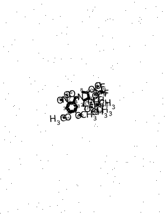 COc1cc(C(=O)N2CC(OS(=O)(=O)C(F)(F)F)C[C@H]2CO[Si](C)(C)C(C)(C)C)c([N+](=O)[O-])cc1OC